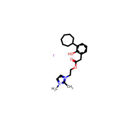 Cc1n(CCOC(=O)Cc2cccc(C3CCCCCC3)c2O)cc[n+]1C.[I-]